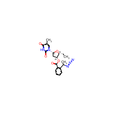 CC[C@H]1O[C@@H](n2cc(C)c(=O)[nH]c2=O)C[C@H]1OC(=O)c1ccccc1C(C)N=[N+]=[N-]